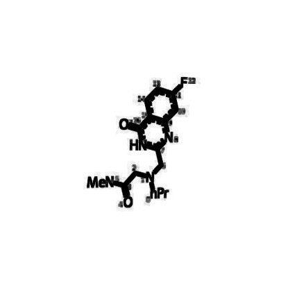 CCCN(CC(=O)NC)Cc1nc2cc(F)ccc2c(=O)[nH]1